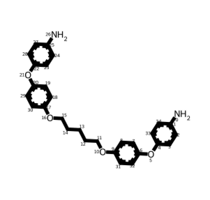 Nc1ccc(Oc2ccc(OCCCCCOc3ccc(Oc4ccc(N)cc4)cc3)cc2)cc1